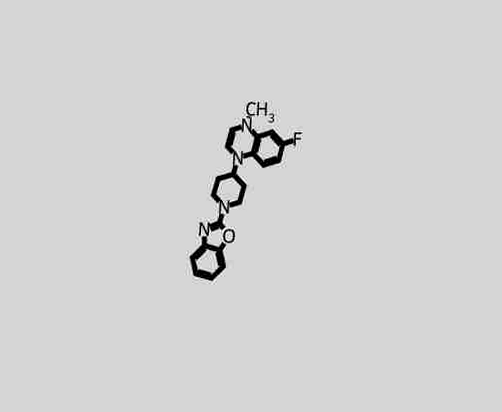 CN1C=CN(C2CCN(c3nc4ccccc4o3)CC2)c2ccc(F)cc21